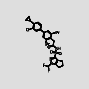 CC(C)c1cc(-c2ccc(C3CC3)c(Cl)c2)cc(C(C)C)c1CC(=O)NS(=O)(=O)c1nn(C(F)F)c2c1CCC2